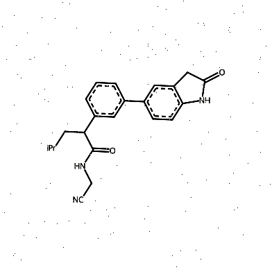 CC(C)CC(C(=O)NCC#N)c1cccc(-c2ccc3c(c2)CC(=O)N3)c1